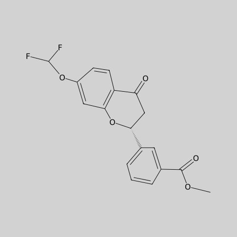 COC(=O)c1cccc([C@H]2CC(=O)c3ccc(OC(F)F)cc3O2)c1